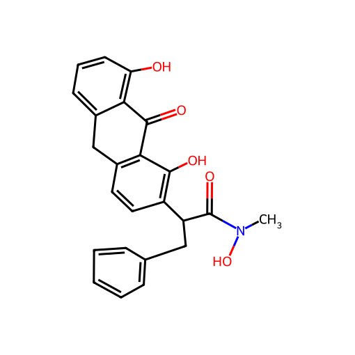 CN(O)C(=O)C(Cc1ccccc1)c1ccc2c(c1O)C(=O)c1c(O)cccc1C2